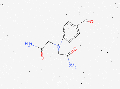 NC(=O)CN(CC(N)=O)c1ccc(C=O)cc1